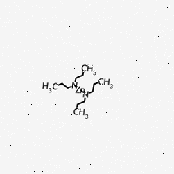 CCC[N](CCC)[Zn][N](CCC)CCC